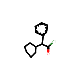 O=C(Cl)C(c1ccccc1)C1CCCCC1